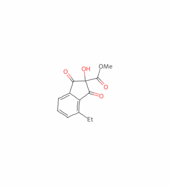 CCc1cccc2c1C(=O)C(O)(C(=O)OC)C2=O